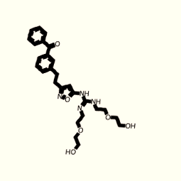 O=C(c1ccccc1)c1cccc(CCc2cc(NC(=NCCOCCO)NCCOCCO)on2)c1